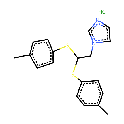 Cc1ccc(SC(Cn2ccnc2)Sc2ccc(C)cc2)cc1.Cl